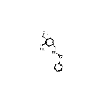 COc1ccc(CNC2CC2c2ccccc2)cc1OC